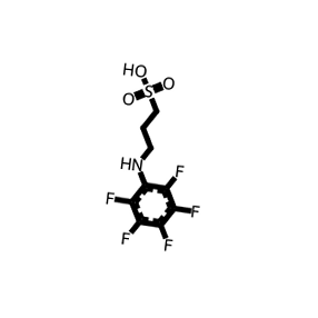 O=S(=O)(O)CCCNc1c(F)c(F)c(F)c(F)c1F